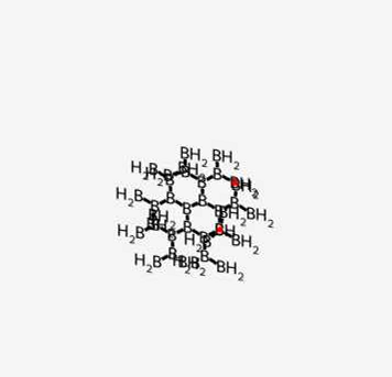 BBB(B(B)B)B(B(B(B)B)B(B)B)B(B(B(B)B)B(B)B)B(B(B(B)B)B(B)B)B(B(B)B)B(B)B